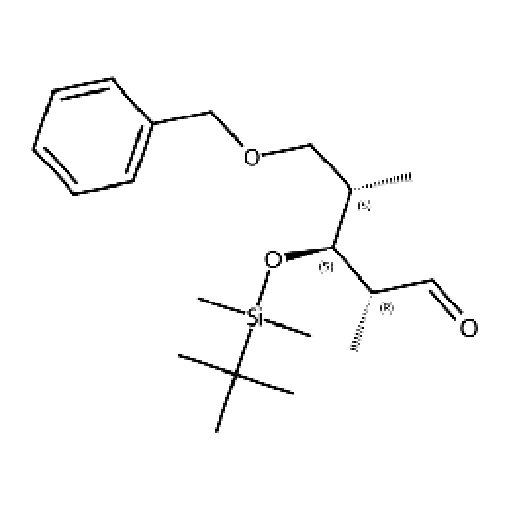 C[C@@H](C=O)[C@@H](O[Si](C)(C)C(C)(C)C)[C@@H](C)COCc1ccccc1